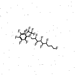 FCCCC(F)C(F)C(F)C(F)C(F)CP(c1c(F)c(F)c(F)c(F)c1F)C(F)(F)C(F)(F)F